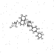 CC1CN(Cc2ccc(C3=NCC(c4ccc(-c5ccccc5)cc4)=N3)c3ccccc23)C1